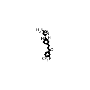 Nc1cc([C@H]2[C@@H]3CCC(CCC(=O)c4ccc(C(F)(F)F)c(F)c4)C[C@@H]32)no1